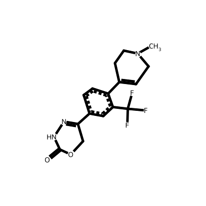 CN1CC=C(c2ccc(C3=NNC(=O)OC3)cc2C(F)(F)F)CC1